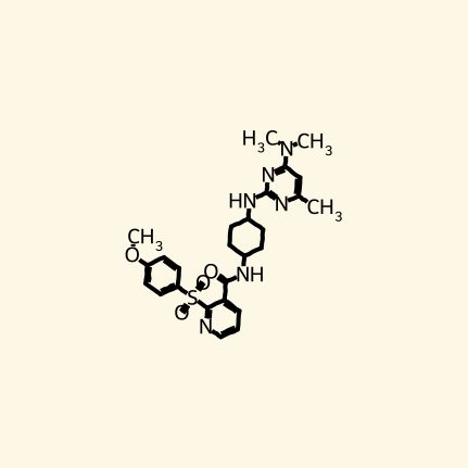 COc1ccc(S(=O)(=O)c2ncccc2C(=O)NC2CCC(Nc3nc(C)cc(N(C)C)n3)CC2)cc1